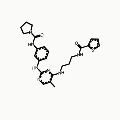 Cc1cnc(Nc2cccc(NC(=O)N3CCCC3)c2)nc1NCCCNC(=O)c1cccs1